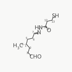 C[C@@H](CCC=O)CC/C=N/NC(=O)CCS